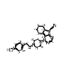 N#Cc1c2ncnn(N3CCN(CCc4ccc(O)cc4)CC3)c-2c2c1CCCC2